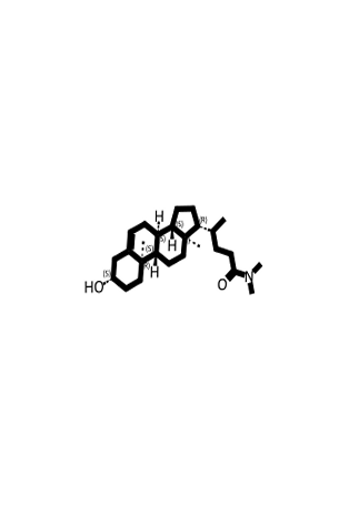 CC(CCC(=O)N(C)C)[C@H]1CC[C@H]2[C@@H]3CC=C4C[C@@H](O)CC[C@]4(C)[C@H]3CC[C@]12C